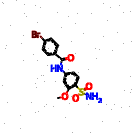 COc1cc(NC(=O)c2ccc(Br)cc2)ccc1S(N)(=O)=O